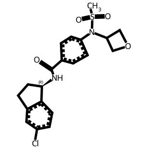 CS(=O)(=O)N(c1ccc(C(=O)N[C@@H]2CCc3cc(Cl)ccc32)cc1)C1COC1